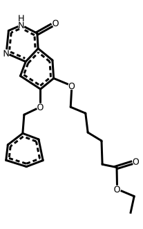 CCOC(=O)CCCCCOc1cc2c(=O)[nH]cnc2cc1OCc1ccccc1